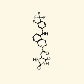 O=C1NC(=O)C(CC(=O)N2CCc3c(cccc3Nc3ccc(C(F)(F)F)c(F)c3)C2)N1